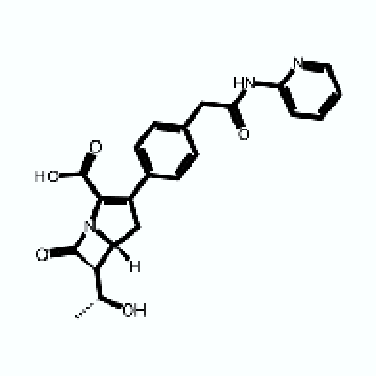 C[C@@H](O)[C@H]1C(=O)N2C(C(=O)O)=C(c3ccc(CC(=O)Nc4ccccn4)cc3)C[C@H]12